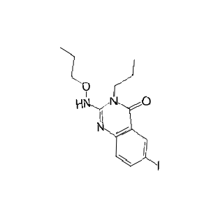 CCCONc1nc2ccc(I)cc2c(=O)n1CCC